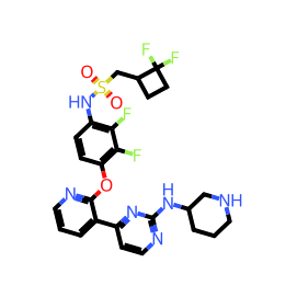 O=S(=O)(CC1CCC1(F)F)Nc1ccc(Oc2ncccc2-c2ccnc(NC3CCCNC3)n2)c(F)c1F